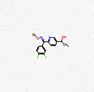 CCO/N=C(\c1ccc(F)c(F)c1)c1ccc(C(C)O)cn1